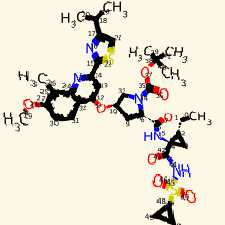 CC[C@@H]1C[C@]1(NC(=O)[C@@H]1C[C@@H](Oc2cc(-c3nc(C(C)C)cs3)nc3c(C)c(OC)ccc23)CN1C(=O)OC(C)(C)C)C(=O)NS(=O)(=O)C1CC1